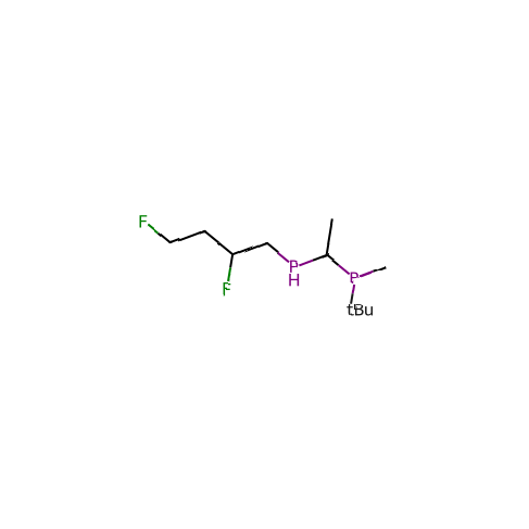 CC(PCC(F)CCF)P(C)C(C)(C)C